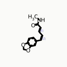 CNC(=O)/C=C/C=C\c1ccc2c(c1)OCO2